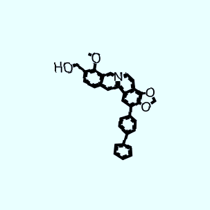 COc1c(CO)ccc2cc3c4cc(-c5ccc(-c6ccccc6)cc5)c5c(c4cc[n+]3cc12)OCO5